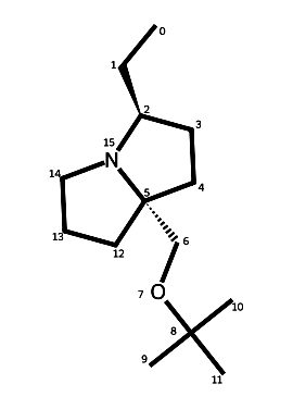 CC[C@H]1CC[C@@]2(COC(C)(C)C)CCCN12